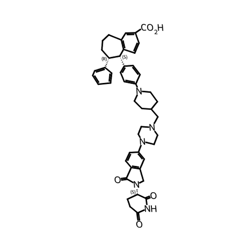 O=C1CC[C@H](N2Cc3cc(N4CCN(CC5CCN(c6ccc([C@H]7c8ccc(C(=O)O)cc8CCC[C@H]7c7ccccc7)cc6)CC5)CC4)ccc3C2=O)C(=O)N1